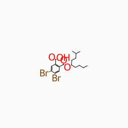 CCCCC(CCC(C)C)OC(=O)c1cc(Br)c(Br)cc1C(=O)O